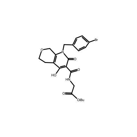 CC(C)COC(=O)CNC(=O)c1c(O)c2c(n(Cc3ccc(Br)cc3)c1=O)COCC2